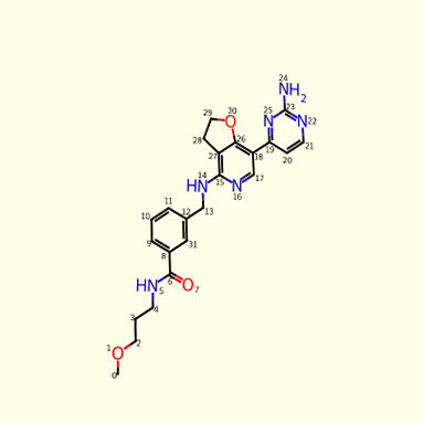 COCCCNC(=O)c1cccc(CNc2ncc(-c3ccnc(N)n3)c3c2CCO3)c1